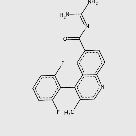 Cc1cnc2ccc(C(=O)N=C(N)N)cc2c1-c1c(F)cccc1F